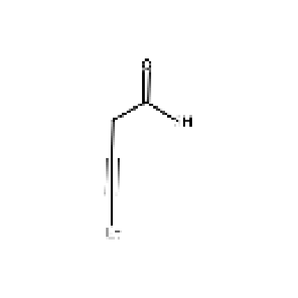 CCC#CCC(=O)S